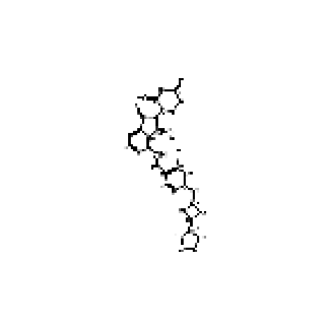 O=C1CCC(N2C(=O)c3cccc(NCc4ccc(CN5CC(N6CCCC6)C5)cc4F)c3C2=O)C(=O)N1